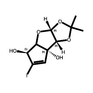 CC1(C)O[C@H]2OC3[C@H](O)C(I)=C[C@]3(O)[C@H]2O1